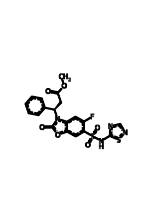 COC(=O)C[C@H](c1ccccc1)n1c(=O)oc2cc(S(=O)(=O)Nc3ncns3)c(F)cc21